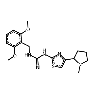 COc1cccc(OC)c1CNC(=N)Nc1nc(C2CCCN2C)cs1